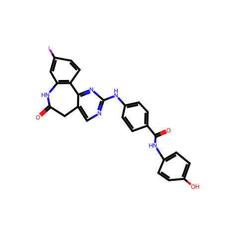 O=C1Cc2cnc(Nc3ccc(C(=O)Nc4ccc(O)cc4)cc3)nc2-c2ccc(I)cc2N1